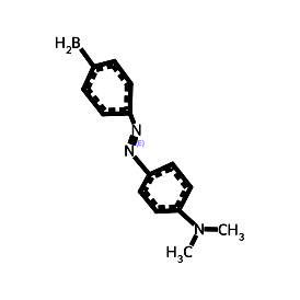 Bc1ccc(/N=N/c2ccc(N(C)C)cc2)cc1